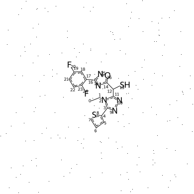 CCn1c(-c2cccs2)nnc1C(S)c1nc(-c2cc(F)ccc2F)no1